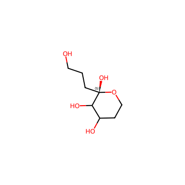 OCCC[C@]1(O)OCCC(O)C1O